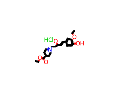 CCOC(=O)C1CCN(CCC(=O)C=Cc2ccc(O)c(OCC)c2)CC1.Cl